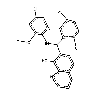 COc1cc(Cl)cnc1NC(c1cc(Cl)ccc1Cl)c1ccc2cccnc2c1O